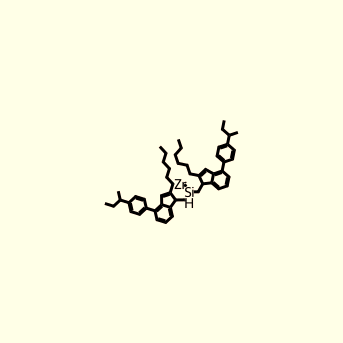 CCCCCCC1=Cc2c(-c3ccc(C(C)CC)cc3)cccc2C1C[SiH]([Zr])CC1C(CCCCCC)=Cc2c(-c3ccc(C(C)CC)cc3)cccc21